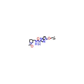 CC(=O)N1CCCC(CNC(=O)Nc2cnc3c(ccn3COCC[Si](C)(C)C)n2)C1